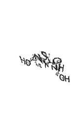 O=C(NCCO)c1csc(N2CC(O)C2)n1